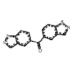 O=C(c1ccc2sncc2c1)c1ccc2sncc2c1